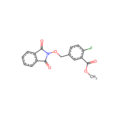 COC(=O)c1cc(CON2C(=O)c3ccccc3C2=O)ccc1F